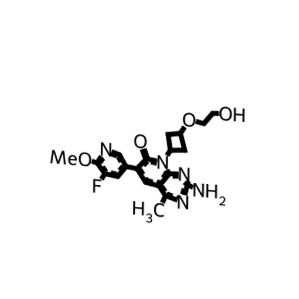 COc1ncc(-c2cc3c(C)nc(N)nc3n(C3CC(OCCO)C3)c2=O)cc1F